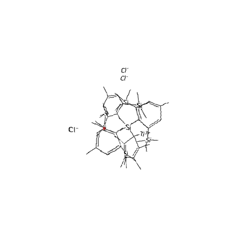 CC1=C(C)[C]([Ti+3])([Si](c2c([Si](C)(C)C)cc(C)cc2[Si](C)(C)C)(c2c([Si](C)(C)C)cc(C)cc2[Si](C)(C)C)c2c([Si](C)(C)C)cc(C)cc2[Si](C)(C)C)C(C)=C1C.[Cl-].[Cl-].[Cl-]